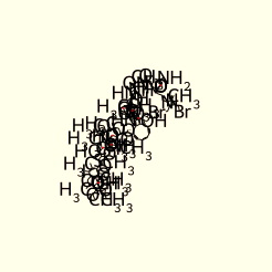 CCC(C(CC(C)OC1C(O[C@H]2C#C/C=C\C#C[C@]3(O)CC(=O)C(NC(=O)OC)=C2/C3=C\CSSC(C)(C)CC(=O)NNC(=O)[C@H](C)NC(=O)[C@H](CC(N)=O)NC(=O)CCCn2c(CBr)c(CBr)n2C)OC(C)C(NOC2CC(O)C(SC(=O)c3c(C)c(I)c(OC(C)C(O)C(OC)C4OC4C)c(OC)c3OC)C(C)O2)C1O)OC)N(CC)C(C)=O